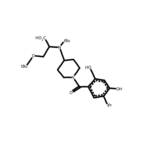 CC(C)c1cc(C(=O)N2CCC(N(C(COC(C)(C)C)C(=O)O)C(C)(C)C)CC2)c(O)cc1O